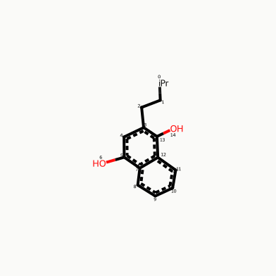 CC(C)CCc1cc(O)c2ccccc2c1O